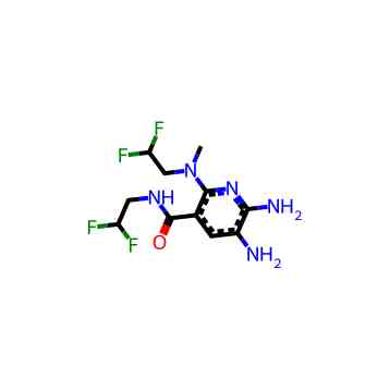 CN(CC(F)F)c1nc(N)c(N)cc1C(=O)NCC(F)F